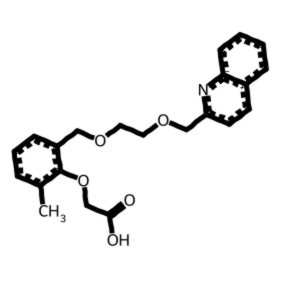 Cc1cccc(COCCOCc2ccc3ccccc3n2)c1OCC(=O)O